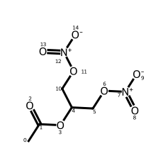 CC(=O)OC(CO[N+](=O)[O-])CO[N+](=O)[O-]